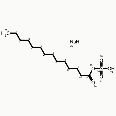 CCCCCCCCCCCCCC(=O)OS(=O)(=O)O.[NaH]